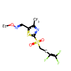 CCO/N=C/c1sc(S(=O)(=O)CCC(F)=C(F)F)nc1C(F)(F)F